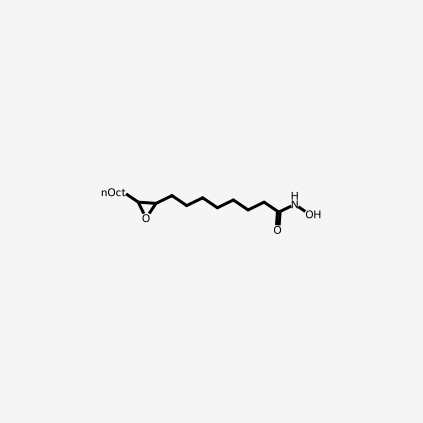 CCCCCCCCC1OC1CCCCCCCC(=O)NO